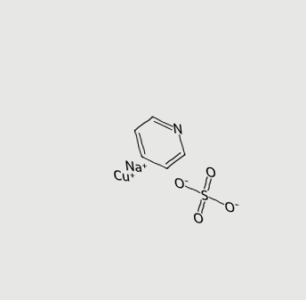 O=S(=O)([O-])[O-].[Cu+].[Na+].c1ccncc1